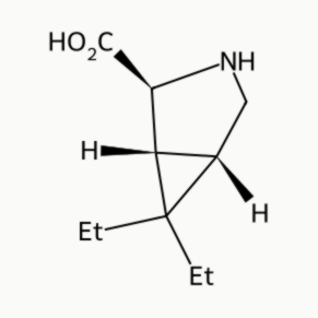 CCC1(CC)[C@@H]2[C@@H](C(=O)O)NC[C@@H]21